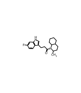 CC1CCC2CCCCC2N1C(=O)CCc1c[nH]c2cc(F)ccc12